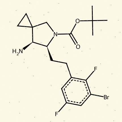 CC(C)(C)OC(=O)N1CC2(CC2)[C@H](N)[C@@H]1CCc1cc(F)cc(Br)c1F